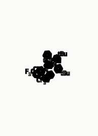 CC(C)(C)c1ccc(N2c3ccc(C(C)(C)C)cc3B3c4ccccc4Oc4cc(N(c5ccc6c(c5)C(C(F)(F)F)(C(F)(F)F)CCC6(C(F)(F)F)C(F)(F)F)c5cccc6ccccc56)cc2c43)cc1